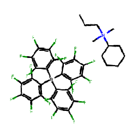 CCC[N+](C)(C)C1CCCCC1.Fc1c(F)c(F)c([B-](c2c(F)c(F)c(F)c(F)c2F)(c2c(F)c(F)c(F)c(F)c2F)c2c(F)c(F)c(F)c(F)c2F)c(F)c1F